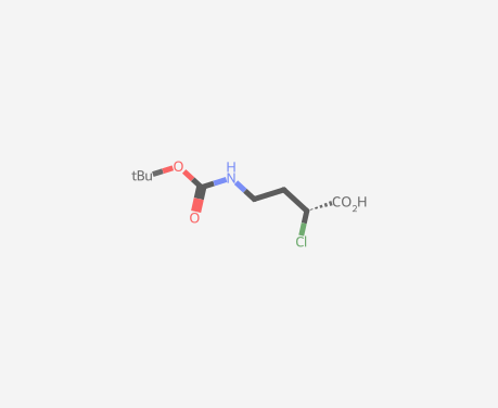 CC(C)(C)OC(=O)NCC[C@@H](Cl)C(=O)O